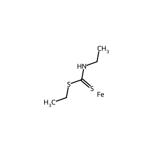 CCNC(=S)SCC.[Fe]